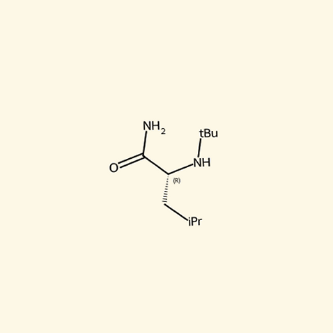 CC(C)C[C@@H](NC(C)(C)C)C(N)=O